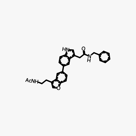 CC(=O)NCCc1coc2ccc(-c3ccc4[nH]cc(CC(=O)NCc5ccccc5)c4c3)cc12